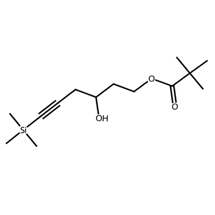 CC(C)(C)C(=O)OCCC(O)CC#C[Si](C)(C)C